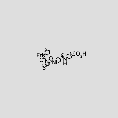 CCN(C(=O)Cn1c(C(=O)N[C@H]2CC[C@H](C(=O)NC3CCN(C(=O)O)CC3)CC2)cc2sccc21)c1cccc(C)c1